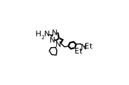 CCN(CC)Cc1ccc(Cc2cc3cnc(N)nc3n2C2CCCCC2)cc1